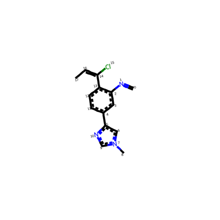 C=Nc1cc(-c2cn(C)cn2)ccc1/C(Cl)=C\C